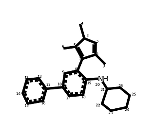 CC1=CC(C)C(C)=C1c1cc(-c2ccccc2)ccc1NC1CCCCC1